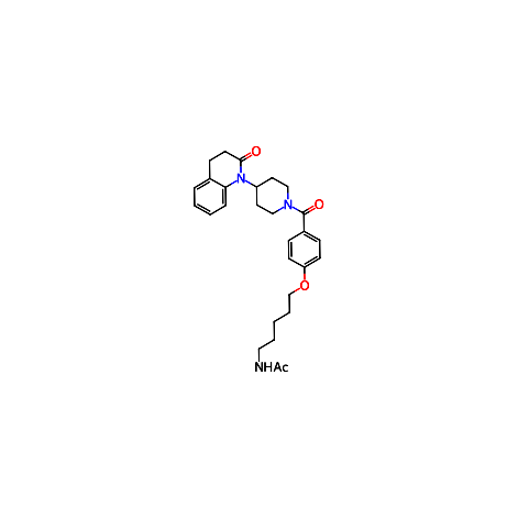 CC(=O)NCCCCCOc1ccc(C(=O)N2CCC(N3C(=O)CCc4ccccc43)CC2)cc1